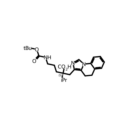 CC(C)[C@](CCCNC(=O)OC(C)(C)C)(Cc1ncn2c1CCc1ccccc1-2)C(=O)O